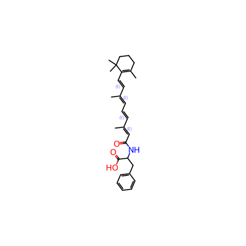 CC1=C(/C=C/C(C)=C/C=C/C(C)=C/C(=O)NC(Cc2ccccc2)C(=O)O)C(C)(C)CCC1